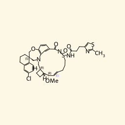 CO[C@H]1/C=C/CCCS(=O)(NC(=O)CCc2csc(C)n2)=NC(=O)c2ccc3c(c2)N(C[C@@H]2CC[C@H]21)C[C@@]1(CCCc2cc(Cl)ccc21)CO3